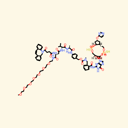 COCCOCCOCCOCCOCCOCCOCCNC(=O)[C@H](CC(=O)N[C@H](C(=O)N[C@@H](C)C(=O)Nc1ccc(COC(=O)N(C)Cc2ccccc2C(=O)Nc2nc3c(ncn3[C@@H]3O[C@@H]4CO[P@@](=O)(S)O[C@H]5C[C@H](Oc6ccncn6)C[C@@H]5CCO[P@@](=O)(S)O[C@@H]3[C@@H]4O)c(=O)[nH]2)cc1)C(C)C)NC(=O)CCC(=O)N1Cc2ccccc2C#Cc2ccccc21